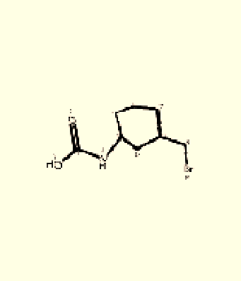 O=C(O)NC1CCCC(CBr)C1